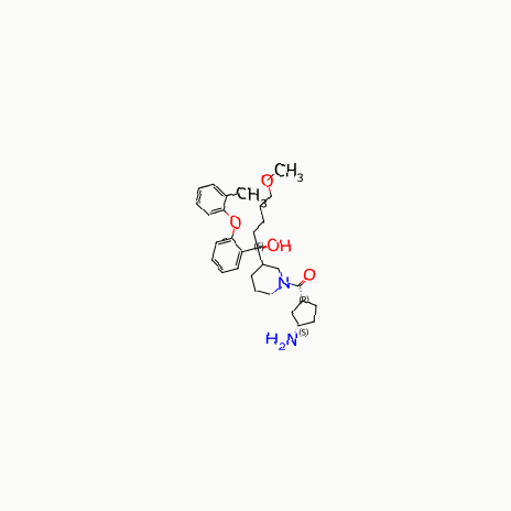 COCCCC[C@@](O)(c1ccccc1Oc1ccccc1C)C1CCCN(C(=O)[C@@H]2CC[C@H](N)C2)C1